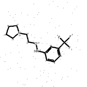 FC(F)(F)c1cccc(NOCCN2CCCC2)c1